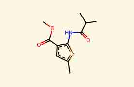 COC(=O)c1cc(C)sc1NC(=O)C(C)C